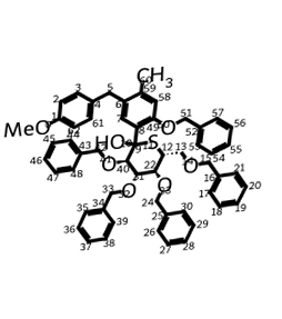 COc1ccc(Cc2cc(C3(O)S[C@H](COCc4ccccc4)[C@@H](OCc4ccccc4)[C@H](OCc4ccccc4)[C@H]3OCc3ccccc3)c(OCc3ccccc3)cc2C)cc1